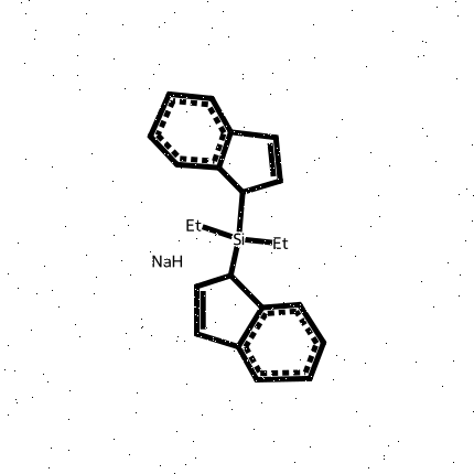 CC[Si](CC)(C1C=Cc2ccccc21)C1C=Cc2ccccc21.[NaH]